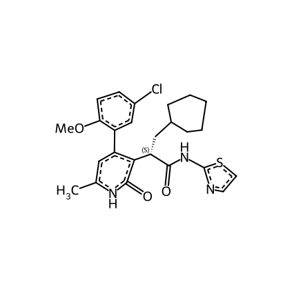 COc1ccc(Cl)cc1-c1cc(C)[nH]c(=O)c1[C@H](CC1CCCCC1)C(=O)Nc1nccs1